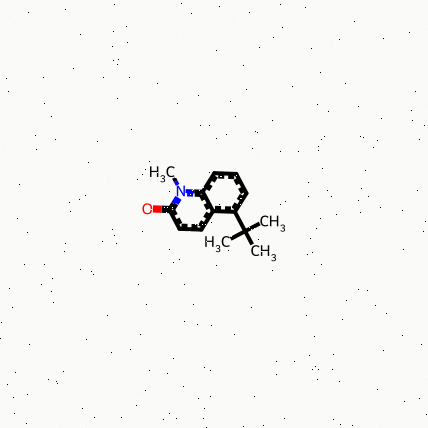 Cn1c(=O)ccc2c(C(C)(C)C)cccc21